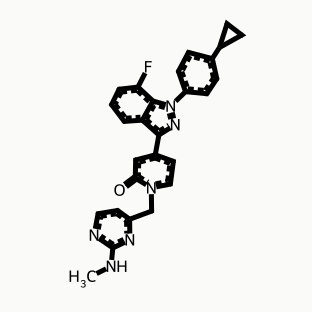 CNc1nccc(Cn2ccc(-c3nn(-c4ccc(C5CC5)cc4)c4c(F)cccc34)cc2=O)n1